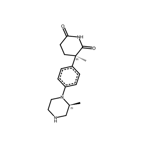 C[C@H]1CNCCN1c1ccc([C@@]2(C)CCC(=O)NC2=O)cc1